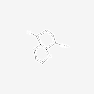 COc1ccc(S)c2cccnc12